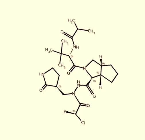 CC(C)C(=O)N[C@H](C(=O)N1C[C@@H]2CCC[C@@H]2[C@H]1C(=O)NN(C[C@@H]1CCNC1=O)C(=O)[C@H](F)Cl)C(C)(C)C